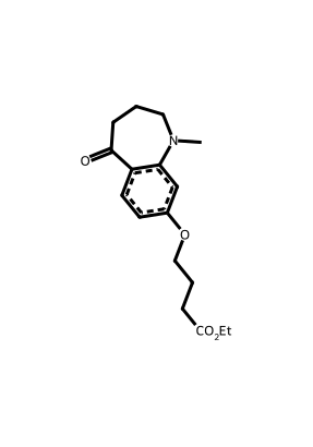 CCOC(=O)CCCOc1ccc2c(c1)N(C)CCCC2=O